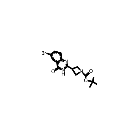 CC(C)(C)OC(=O)N1CC(c2nc3ccc(Br)cc3c(=O)[nH]2)C1